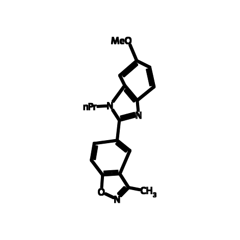 CCCn1c(-c2ccc3onc(C)c3c2)nc2ccc(OC)cc21